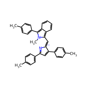 Cc1ccc(C2=CC(c3ccc(C)cc3)=N/C2=C\c2c3ccccc3c(-c3ccc(C)cc3)n2C)cc1